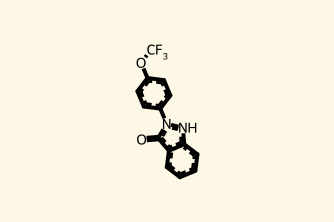 O=c1c2ccccc2[nH]n1-c1ccc(OC(F)(F)F)cc1